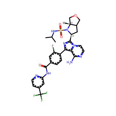 CC(C)NS(=O)(=O)N1[C@@H]2COCC2C[C@H]1c1nc(-c2ccc(C(=O)Nc3cc(C(F)(F)F)ccn3)cc2F)c2c(N)nccn12